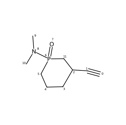 C#CC1CCCP(=O)(N(C)C)C1